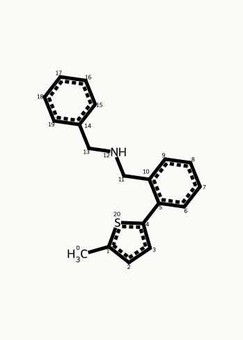 Cc1ccc(-c2ccccc2CNCc2ccccc2)s1